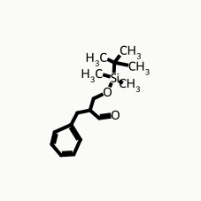 CC(C)(C)[Si](C)(C)OCC(C=O)Cc1ccccc1